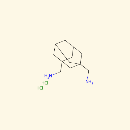 Cl.Cl.NCC12CC3CC(C1)CC(CN)(C3)C2